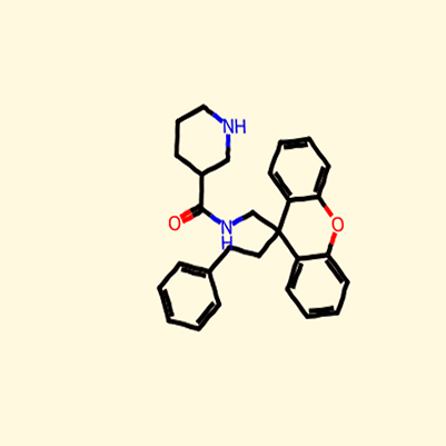 O=C(NCC1(CCc2ccccc2)c2ccccc2Oc2ccccc21)C1CCCNC1